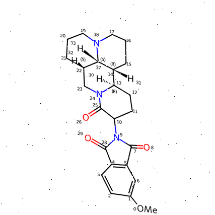 COc1ccc2c(c1)C(=O)N(C1CC[C@@H]3[C@H]4CCCN5CCC[C@@H](CN3C1=O)[C@@H]45)C2=O